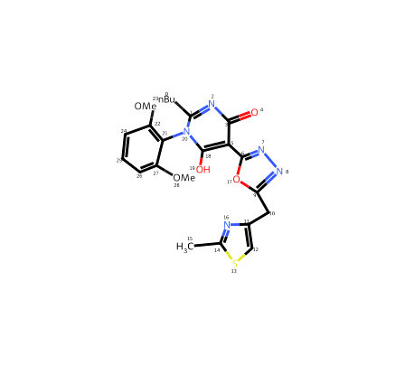 CCCCc1nc(=O)c(-c2nnc(Cc3csc(C)n3)o2)c(O)n1-c1c(OC)cccc1OC